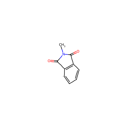 CN1C(=O)c2[c]cccc2C1=O